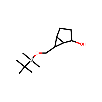 CC(C)(C)[Si](C)(C)OCC1C2CCC(O)C21